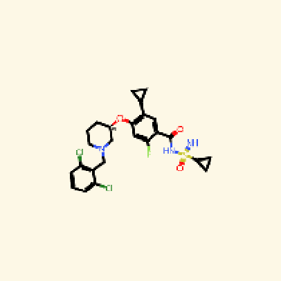 N=S(=O)(NC(=O)c1cc(C2CC2)c(O[C@@H]2CCCN(Cc3c(Cl)cccc3Cl)C2)cc1F)C1CC1